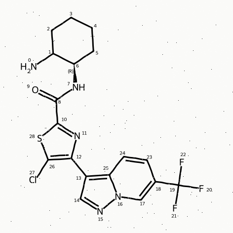 NC1CCCC[C@H]1NC(=O)c1nc(-c2cnn3cc(C(F)(F)F)ccc23)c(Cl)s1